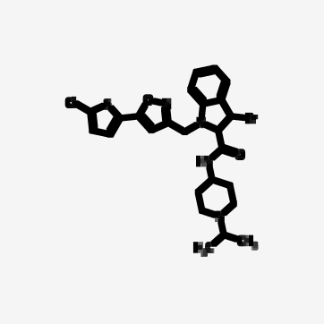 CC(C)N1CCC(NC(=O)C2C(Br)c3ccccc3N2Cc2cc(-c3ccc(Cl)s3)on2)CC1